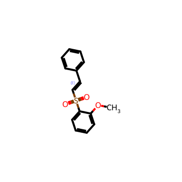 COc1ccccc1S(=O)(=O)/C=C/c1ccccc1